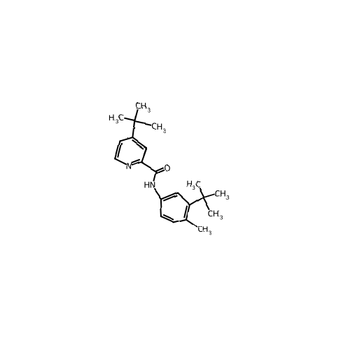 Cc1ccc(NC(=O)c2cc(C(C)(C)C)ccn2)cc1C(C)(C)C